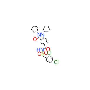 O=C(NS(=O)(=O)Cc1ccc(Cl)cc1Cl)c1ccc2c(c1)c(=O)n(-c1ccccc1)n2-c1ccccc1